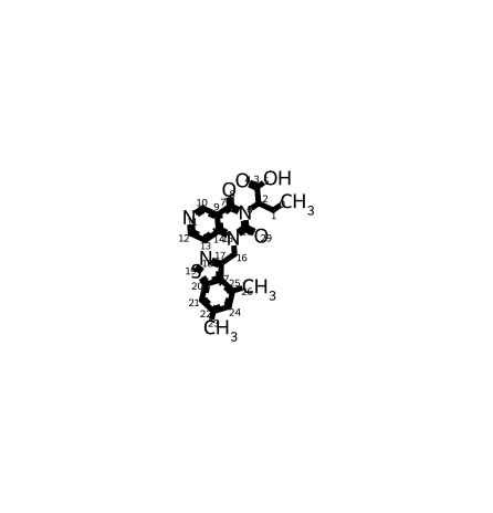 CCC(C(=O)O)n1c(=O)c2cnccc2n(Cc2nsc3cc(C)cc(C)c23)c1=O